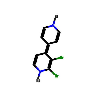 CCN1C=CC(=C2C=CN(CC)C(Br)=C2Br)C=C1